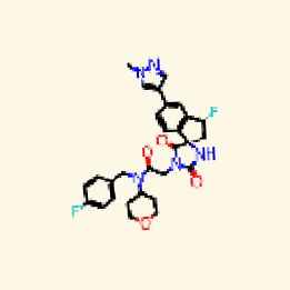 Cn1cc(-c2ccc3c(c2)[C@H](F)C[C@]32NC(=O)N(CC(=O)N(Cc3ccc(F)cc3)C3CCOCC3)C2=O)cn1